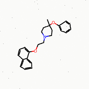 CC1(Oc2ccccc2)CCN(CCOc2cccc3ccccc23)CC1